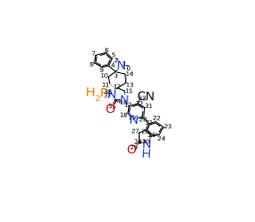 CN(C)[C@]1(c2ccccc2)CC[C@]2(CC1)CN(c1cnc(-c3cccc4c3CC(=O)N4)cc1C#N)C(=O)N2P